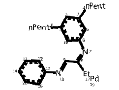 CCCCCc1cc(CCCCC)cc(N=C(C=Nc2ccccc2)CC)c1.[Pd]